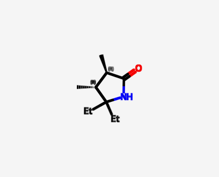 CCC1(CC)NC(=O)[C@H](C)[C@H]1C